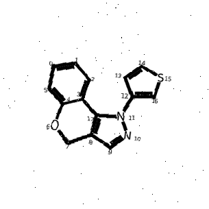 c1ccc2c(c1)OCc1cnn(-c3ccsc3)c1-2